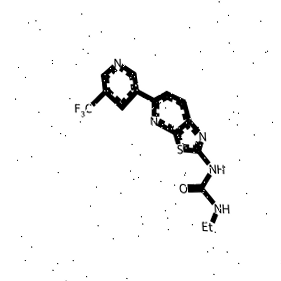 CCNC(=O)Nc1nc2ccc(-c3cncc(C(F)(F)F)c3)nc2s1